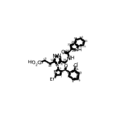 CCc1cc(C(=O)c2ccccc2Cl)c(-n2c(CCC(=O)O)nnc2CNC(=O)c2cc3ccccc3[nH]2)s1